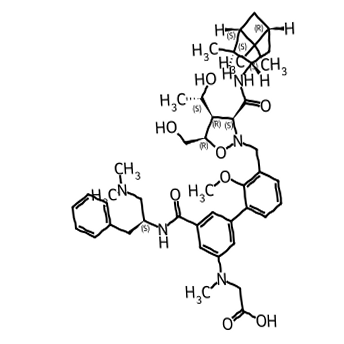 COc1c(CN2O[C@@H](CO)[C@@H]([C@H](C)O)[C@H]2C(=O)N[C@H]2C[C@H]3C[C@@H]([C@@H]2C)C3(C)C)cccc1-c1cc(C(=O)N[C@@H](Cc2ccccc2)CN(C)C)cc(N(C)CC(=O)O)c1